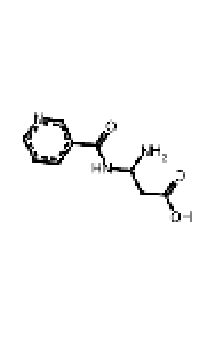 NC(CC(=O)O)NC(=O)c1cccnc1